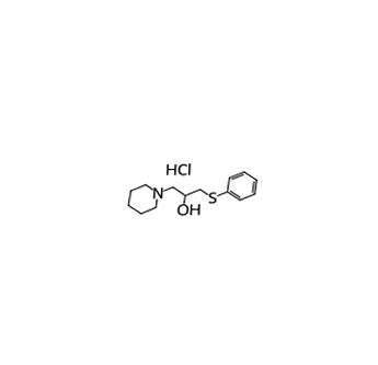 Cl.OC(CSc1ccccc1)CN1CCCCC1